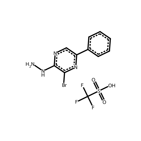 NNc1ncc(-c2ccccc2)nc1Br.O=S(=O)(O)C(F)(F)F